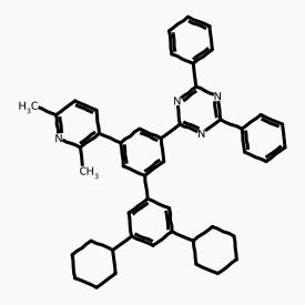 Cc1ccc(-c2cc(-c3cc(C4CCCCC4)cc(C4CCCCC4)c3)cc(-c3nc(-c4ccccc4)nc(-c4ccccc4)n3)c2)c(C)n1